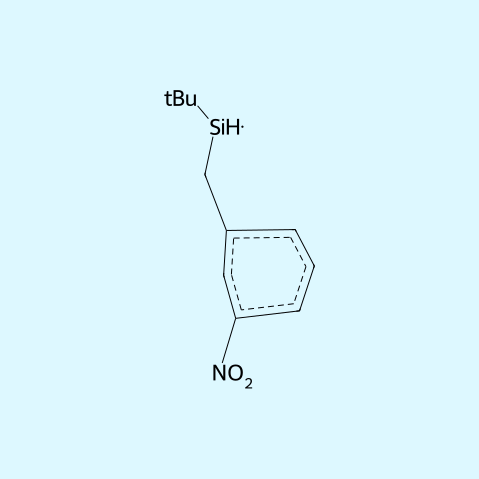 CC(C)(C)[SiH]Cc1cccc([N+](=O)[O-])c1